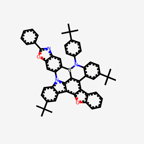 CC(C)(C)c1ccc(N2B3c4cc5nc(-c6ccccc6)oc5cc4-n4c5ccc(C(C)(C)C)cc5c5c6oc7ccccc7c6c(c3c54)-c3cc(C(C)(C)C)ccc32)cc1